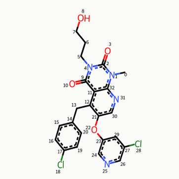 Cn1c(=O)n(CCCO)c(=O)c2c(Cc3ccc(Cl)cc3)c(Oc3cncc(Cl)c3)cnc21